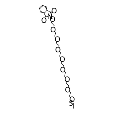 O=C1c2ccccc2C(=O)N1OCCOCCOCCOCCOCCOCCOCCOCCOSI